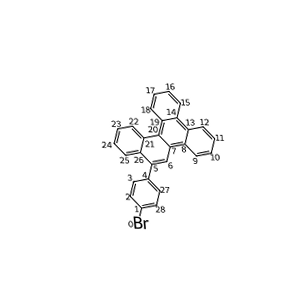 Brc1ccc(-c2cc3c4ccccc4c4ccccc4c3c3ccccc23)cc1